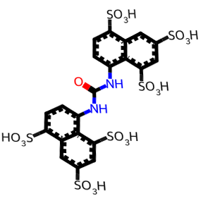 O=C(Nc1ccc(S(=O)(=O)O)c2cc(S(=O)(=O)O)cc(S(=O)(=O)O)c12)Nc1ccc(S(=O)(=O)O)c2cc(S(=O)(=O)O)cc(S(=O)(=O)O)c12